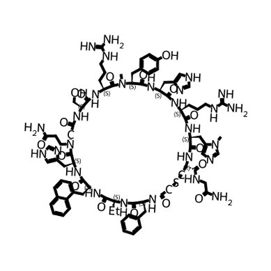 CC[C@@H]1NC(=O)[C@H](Cc2ccccc2)NC(=O)CSC[C@@H](C(=O)NCC(N)=O)NC(=O)[C@H](Cc2cncn2C)NC(=O)[C@H](CCCNC(=N)N)NC(=O)[C@H](Cc2c[nH]cn2)NC(=O)[C@H](Cc2ccc(O)cc2)N(C)C(=O)[C@H](CCCNC(=N)N)NC(=O)[C@H](CO)NC(=O)CN(CCC(N)=O)C(=O)[C@H](Cc2c[nH]cn2)NC(=O)[C@H](Cc2cccc3ccccc23)NC1=O